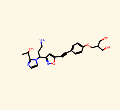 CC(O)c1nccn1C(CCN)c1cc(C#Cc2ccc(OCC(CO)CO)cc2)on1